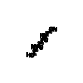 O=C(CCCC(=O)NCCCO)NCCCO